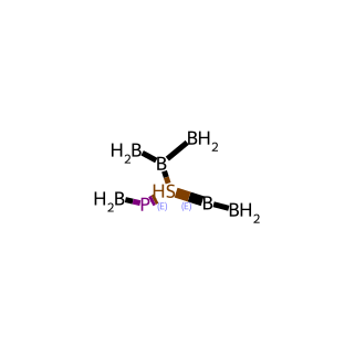 B/B=[SH](=P\B)\B(B)B